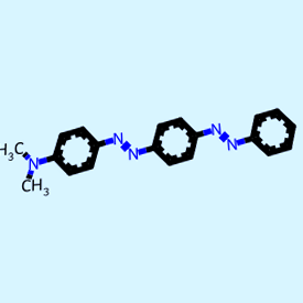 CN(C)c1ccc(N=Nc2ccc(N=Nc3ccccc3)cc2)cc1